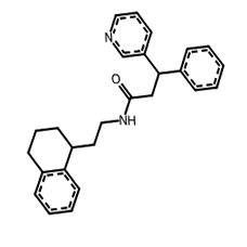 O=C(CC(c1ccccc1)c1cccnc1)NCCC1CCCc2ccccc21